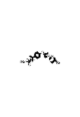 CC(NC(=O)OC(C)(C)C)c1ccc(OC2CN(c3ncc(Br)cn3)C2)cc1